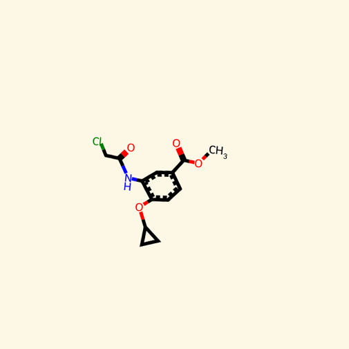 COC(=O)c1ccc(OC2CC2)c(NC(=O)CCl)c1